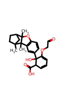 CC12CCC(C1)C1(C)Oc3ccc(C4(O)C(OCC=O)=CC=CC4C(=O)O)cc3C21C